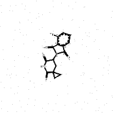 O=C1NC(=O)C2(CC2)CC1N1C(=O)c2cccc(F)c2C1=O